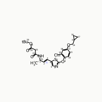 C[C@@H](/C=C/c1cnc(Oc2ccc(OCC3CC3)cc2Cl)s1)NC(=O)CC(=O)OC(C)(C)C